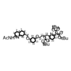 CC(=O)Nc1ccc2ccc(COc3cccc(OCCN(Cc4cccc(N(C(=O)OC(C)(C)C)C(=O)OC(C)(C)C)n4)C(=O)OC(C)(C)C)c3)cc2n1